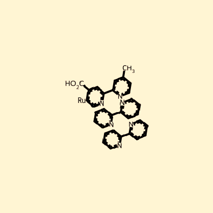 Cc1ccnc(-c2cc(C(=O)O)ccn2)c1.[Ru].c1ccc(-c2ccccn2)nc1.c1ccc(-c2ccccn2)nc1